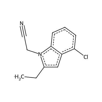 [CH2]Cc1cc2c(Cl)cccc2n1CC#N